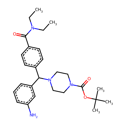 CCN(CC)C(=O)c1ccc(C(c2cccc(N)c2)N2CCN(C(=O)OC(C)(C)C)CC2)cc1